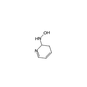 ONC1CC=CC=N1